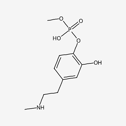 CNCCc1ccc(OP(=O)(O)OC)c(O)c1